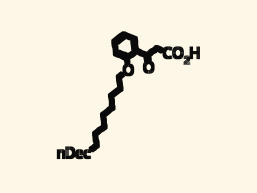 CCCCCCCCCCCCCCCCCCOc1ccccc1C(=O)CC(=O)O